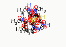 Cc1cn([C@H]2C[C@H](O[P@](=O)(S)OC[C@H]3O[C@@H](n4cc(C)c(=O)[nH]c4=O)C[C@@H]3O[P@](=O)(S)OC[C@H]3O[C@@H](n4cc(C)c(=O)[nH]c4=O)C[C@@H]3O[P@](=O)(S)OC[C@H]3O[C@@H](n4cc(C)c(=O)[nH]c4=O)C[C@@H]3O[P@](=O)(S)OC[C@H]3O[C@@H](n4cc(C)c(=O)[nH]c4=O)C[C@@H]3O[P@](=O)(S)OC(C)C)[C@@H](C)O2)c(=O)[nH]c1=O